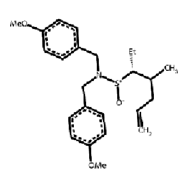 C=CCC(C)[C@@H](CC)[S+]([O-])N(Cc1ccc(OC)cc1)Cc1ccc(OC)cc1